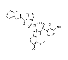 COc1ccc(C[C@H](NC(=O)c2cccc(N)c2Cl)[C@H](O)C(=O)N2CSC(C)(C)C2C(=O)NCc2ccccc2C)cc1OC